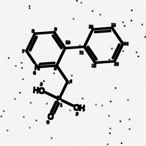 O=P(O)(O)Cc1ncccc1-c1ccccc1